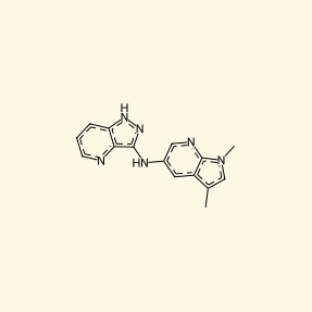 Cc1cn(C)c2ncc(Nc3n[nH]c4cccnc34)cc12